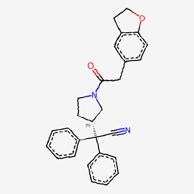 N#CC(c1ccccc1)(c1ccccc1)[C@@H]1CCN(C(=O)Cc2ccc3c(c2)CCO3)C1